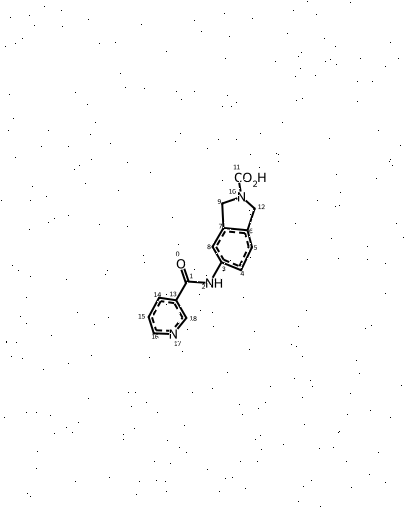 O=C(Nc1ccc2c(c1)CN(C(=O)O)C2)c1cccnc1